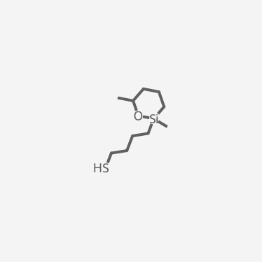 CC1CCC[Si](C)(CCCCS)O1